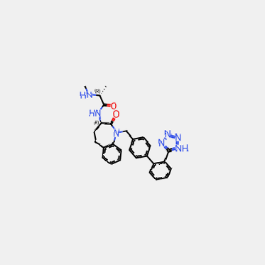 CN[C@H](C)C(=O)N[C@@H]1CCc2ccccc2N(Cc2ccc(-c3ccccc3-c3nnn[nH]3)cc2)C1=O